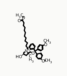 COC(=O)CCCCCCCCCCC(=O)N1C[C@H](O)C[C@@]1(C)COC(c1ccccc1)(c1ccc(OC)cc1)c1ccc(OC)cc1